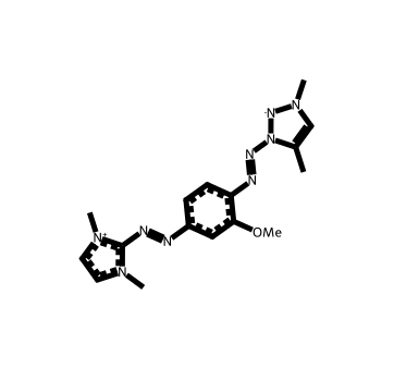 COc1cc(N=Nc2n(C)cc[n+]2C)ccc1N=NN1[N]N(C)C=C1C